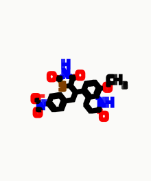 COc1ccc(C(Cc2ccc([N+](=O)[O-])cc2)C2SC(=O)NC2=O)c2c1NC(=O)CC2